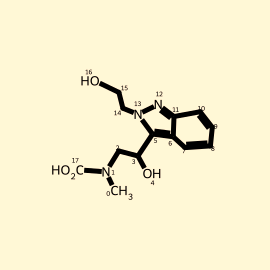 CN(CC(O)c1c2ccccc2nn1CCO)C(=O)O